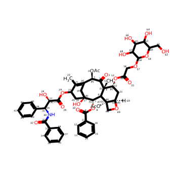 CC(=O)O[C@H]1C(=O)[C@@]2(C)C([C@H](OC(=O)c3ccccc3)[C@@]3(O)CC1=C(C)C(OC(=O)[C@H](O)[C@@H](NC(=O)c1ccccc1)c1ccccc1)C3)[C@]1(OC(C)=O)CO[C@@H]1C[C@H]2OC(=O)COC1OC(CO)C(O)C(O)C1O